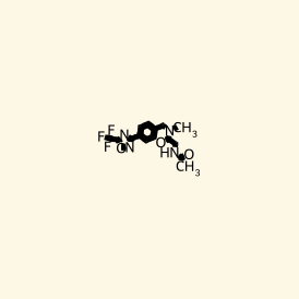 CC(=O)NCC(=O)N(C)Cc1ccc(-c2noc(C(F)(F)F)n2)cc1